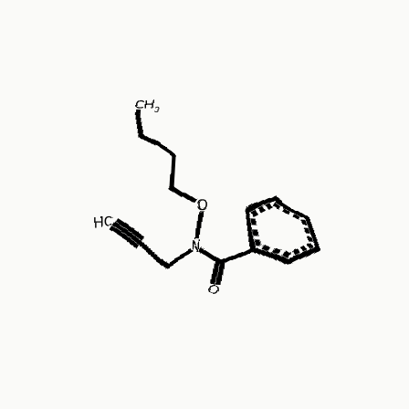 C#CCN(OCCCC)C(=O)c1ccccc1